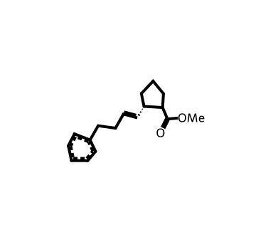 COC(=O)C1CCC[C@H]1C=CCCc1ccccc1